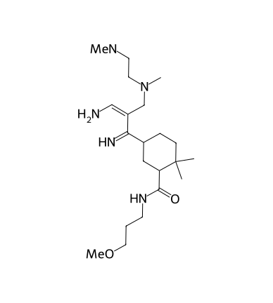 CNCCN(C)C/C(=C/N)C(=N)C1CCC(C)(C)C(C(=O)NCCCOC)C1